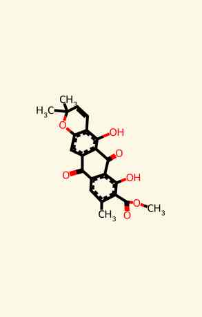 COC(=O)c1c(C)cc2c(c1O)C(=O)c1c(cc3c(c1O)C=CC(C)(C)O3)C2=O